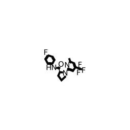 Cc1cc(C(F)(F)F)cc(N2CCC[C@H]2C(=O)Nc2ccc(F)cc2)n1